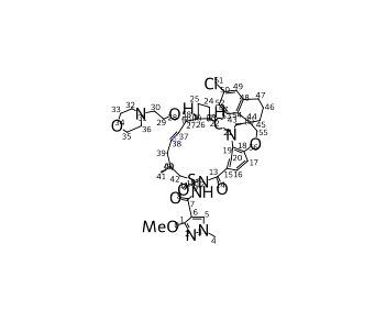 COc1nn(C)cc1C(=O)NS1(=O)=NC(=O)c2ccc3c(c2)N(C[C@@H]2CC[C@H]2[C@@H](OCCN2CCOCC2)/C=C/C[C@H](C)C1)C[C@@]1(CCCc2cc(Cl)ccc21)CO3